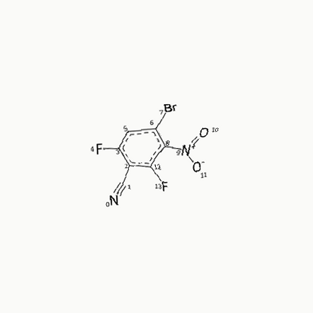 N#Cc1c(F)cc(Br)c([N+](=O)[O-])c1F